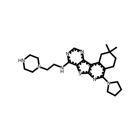 CC1(C)CCc2c(N3CCCC3)nc3sc4c(NCCN5CCNCC5)ncnc4c3c2C1